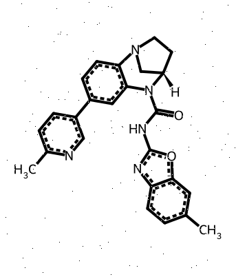 Cc1ccc2nc(NC(=O)N3c4cc(-c5ccc(C)nc5)ccc4N4CC[C@H]3C4)oc2c1